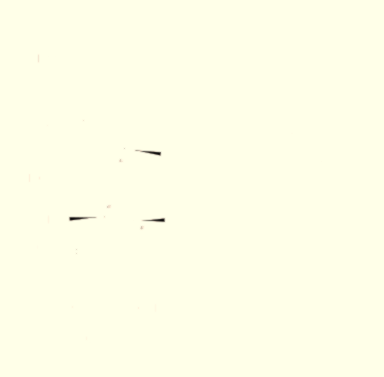 CC(=O)C1=C(O)C(C(C)C)[C@@]2(C)C[C@@]3(C)Cc4c(-c5ccc(C=C6CCCC6C)cc5)ccc(O)c4C(=O)C3=C(O)[C@@]2(O)C1=O